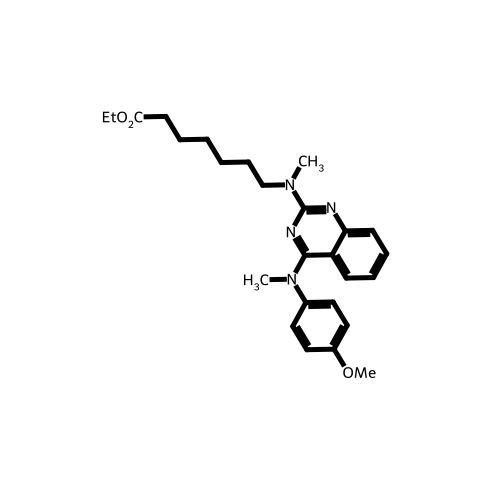 CCOC(=O)CCCCCCN(C)c1nc(N(C)c2ccc(OC)cc2)c2ccccc2n1